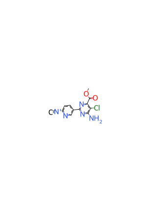 [C-]#[N+]c1ccc(-c2nc(N)c(Cl)c(C(=O)OC)n2)cn1